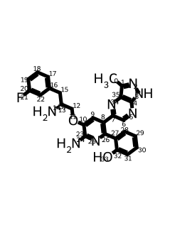 Cc1n[nH]c2ncc(-c3cc(OC[C@@H](N)Cc4cccc(F)c4)c(N)nc3-c3ccccc3O)nc12